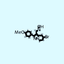 COc1ccc(-c2nn3ccc(Br)cc3c2C=NO)cc1